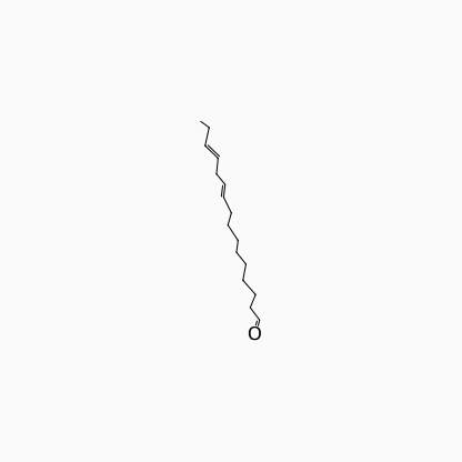 CCC=CCC=CCCCCCCCCC=O